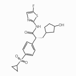 O=C(Nc1ncc(F)s1)[C@H](CC1CCC(O)C1)c1ccc(S(=O)(=O)C2CC2)cc1